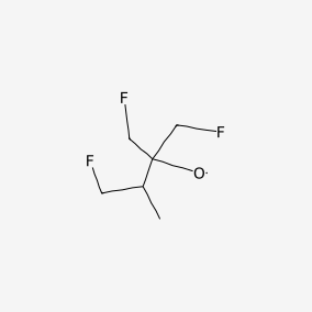 CC(CF)C([O])(CF)CF